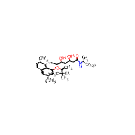 C=C(O[C@H]1C[C@@H](C)C=C2C=C[C@H](C)[C@H](CC[C@@H](O)C[C@@H](O)CC(=O)N[C@@H](C)C(=O)O)C21)C(C)(C)CC